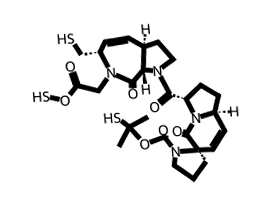 CC(C)(S)OC(=O)N1CCC[C@]12C=C[C@@H]1CC[C@@H](C(=O)N3CC[C@@H]4C=C[C@@H](CS)N(CC(=O)OS)C(=O)[C@H]43)N1C2=O